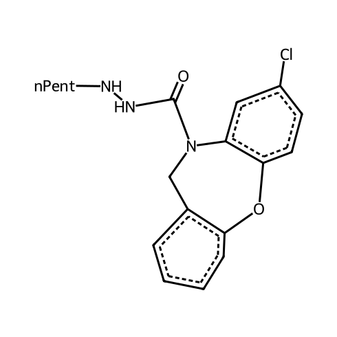 CCCCCNNC(=O)N1Cc2ccccc2Oc2ccc(Cl)cc21